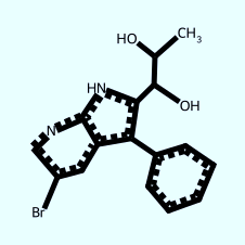 CC(O)C(O)c1[nH]c2ncc(Br)cc2c1-c1ccccc1